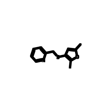 Cc1cc(SCc2ccccn2)c(C)o1